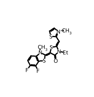 CCn1c(=O)/c(=C2\Sc3c(ccc(F)c3F)N2C)s/c1=C\c1scc[n+]1C